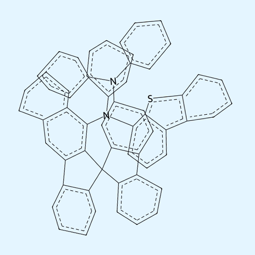 c1ccc(N(c2ccccc2)c2ccc3c(c2)C2(c4ccccc4-3)c3ccccc3-c3cc4ccccc4c(N(c4ccccc4)c4cccc5c4sc4ccccc45)c32)cc1